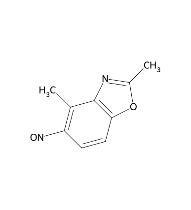 Cc1nc2c(C)c(N=O)ccc2o1